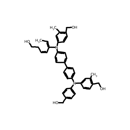 C/C=C(\C=C/CCO)N(c1ccc(-c2ccc(N(c3ccc(CO)cc3)c3ccc(CO)c(C)c3)cc2)cc1)c1ccc(CO)c(C)c1